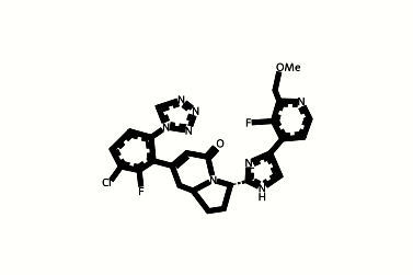 COCc1nccc(-c2c[nH]c([C@@H]3CCC4CC(c5c(-n6cnnn6)ccc(Cl)c5F)=CC(=O)N43)n2)c1F